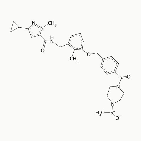 Cc1c(CNC(=O)c2cc(C3CC3)nn2C)cccc1OCc1ccc(C(=O)N2CCN([S+](C)[O-])CC2)cc1